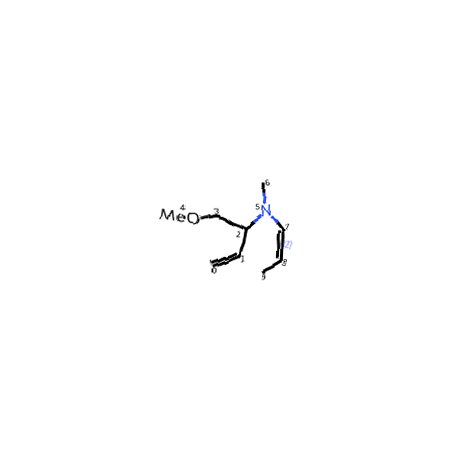 C=CC(COC)N(C)/C=C\C